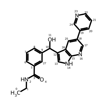 CCNC(=O)c1cccc(C(O)c2c[nH]c3ncc(-c4cccnc4)cc23)c1